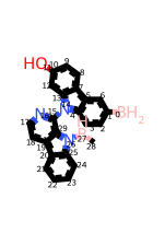 Bc1ccc2c(c1)c1ccc(O)cc1n2-c1nccc2c3ccccc3n(BC)c12